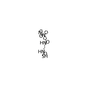 O=C(CS)NCCCCCNC(=O)c1ccc(N(C(=O)c2ccccn2)c2ccccc2)cc1